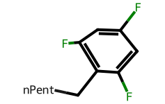 [CH2]CCCCCc1c(F)cc(F)cc1F